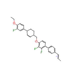 C/C=C/c1ccc(-c2ccc(OCC3CCC(c4ccc(OCC)c(F)c4)CC3)c(F)c2F)cc1